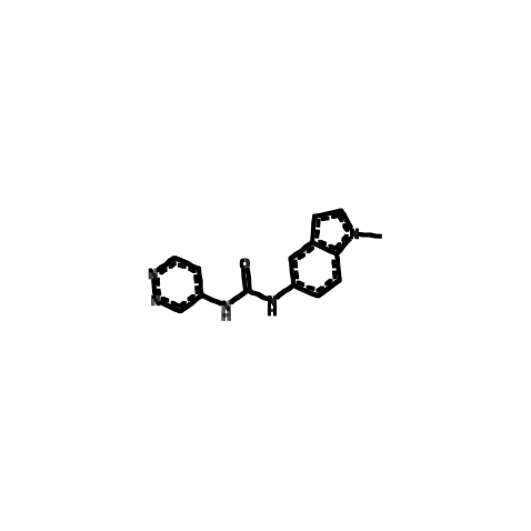 Cn1ccc2cc(NC(=O)Nc3ccnnc3)ccc21